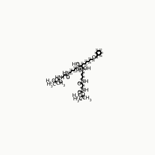 CC(C)(C)OC(=O)NCCC(=O)NCCCCNC(O)C(CCCCCCOCc1ccccc1)C(O)NCCCCNC(=O)CCNC(=O)OC(C)(C)C